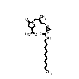 CCCCCCCCCCNC(=O)[C@@H]1C[C@H]1CC=C(C)CN1CC(C(=O)O)CC1=O